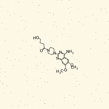 COc1cc2nc(N3CCN(C(=O)CCCO)CC3)nc(N)c2cc1OC